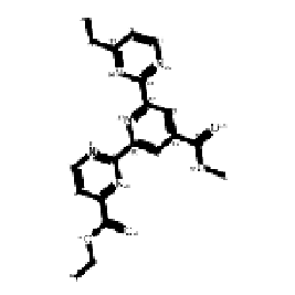 CCOC(=O)c1ccnc(-c2cc(C(=O)OC)cc(-c3nccc(CC)n3)n2)n1